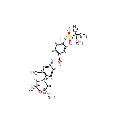 Cc1cc(NC(=O)c2ccc(NS(=O)(=O)C(C)(C)C)cc2)ccc1N1C[C@@H](C)O[C@@H](C)C1